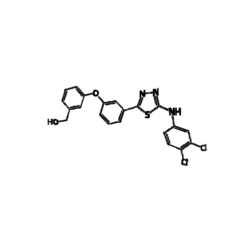 OCc1cccc(Oc2cccc(-c3nnc(Nc4ccc(Cl)c(Cl)c4)s3)c2)c1